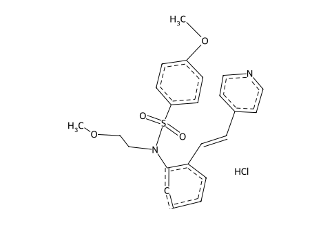 COCCN(c1ccccc1/C=C/c1ccncc1)S(=O)(=O)c1ccc(OC)cc1.Cl